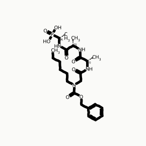 CCCCCCN(CC(=O)N[C@@H](C)C(=O)N[C@@H](C)C(=O)N[C@@H](C)P(=O)(O)O)C(=O)OCc1ccccc1